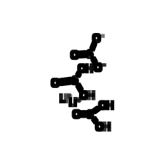 O=S(O)O.O=S(O)O.O=S([O-])[O-].[Li+].[Li+]